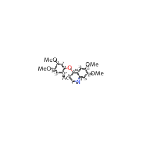 COc1cc(Oc2ccnc3cc(OC)c(OC)cc23)c(C(C)=O)cc1OC